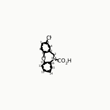 O=C(O)N1Cc2cc(Cl)ccc2Oc2ccccc21